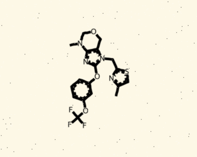 Cc1csc(Cn2c(Oc3cccc(OC(F)(F)F)c3)nc3c2COCN3C)n1